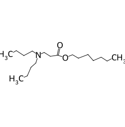 CCCCCCCOC(=O)CCN(CCCC)CCCC